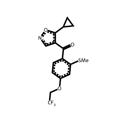 CSc1cc(OCC(F)(F)F)ccc1C(=O)c1cnoc1C1CC1